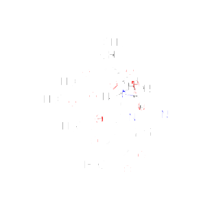 CCCC(=O)O[C@H]1CS[C@@H]2c3c(OC(C)=O)c(C)c4c(c3[C@H](COC1=O)N1C2[C@H]2c3c(cc(C)c(OC)c3OCOC)C[C@@H]([C@@H]1C#N)N2C)OCO4